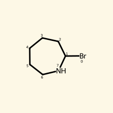 BrC1CCCCCN1